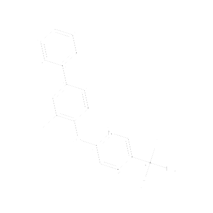 Cc1cc(-c2ccccc2)ccc1Oc1ccc(C(F)(F)F)cn1